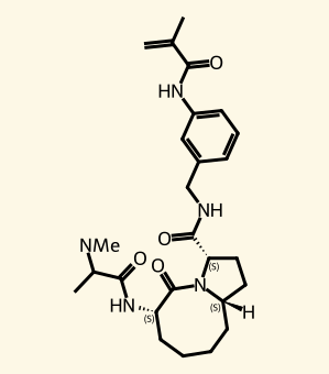 C=C(C)C(=O)Nc1cccc(CNC(=O)[C@@H]2CC[C@@H]3CCCC[C@H](NC(=O)C(C)NC)C(=O)N32)c1